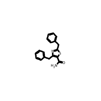 NC(=O)c1sc(Cc2ccccc2)nc1Cc1ccccc1